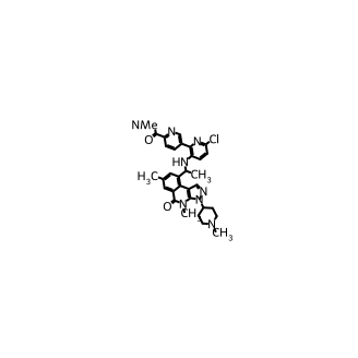 CNC(=O)c1ccc(-c2nc(Cl)ccc2NC(C)c2cc(C)cc3c(=O)n(C)c4c(cnn4C4CCN(C)CC4)c23)cn1